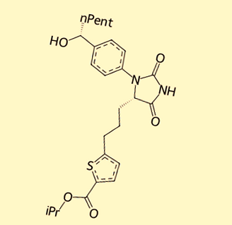 CCCCC[C@@H](O)c1ccc(N2C(=O)NC(=O)[C@@H]2CCCc2ccc(C(=O)OC(C)C)s2)cc1